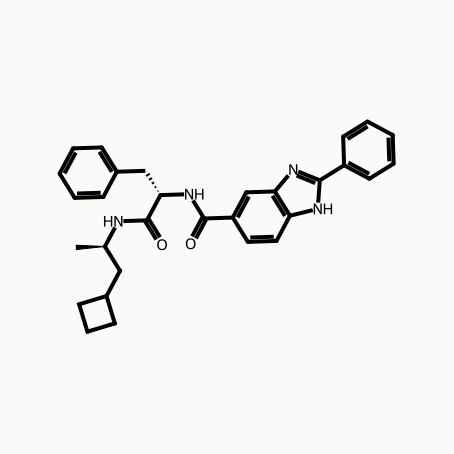 C[C@H](CC1CCC1)NC(=O)[C@H](Cc1ccccc1)NC(=O)c1ccc2[nH]c(-c3ccccc3)nc2c1